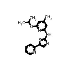 Cc1cc(Nc2ncc(-c3ccccn3)s2)nc(OC(C)C)c1